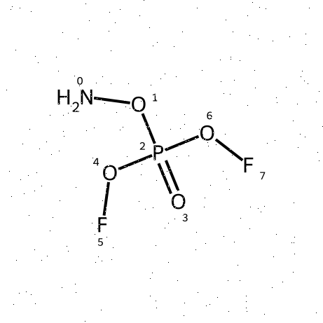 NOP(=O)(OF)OF